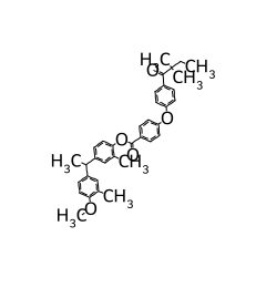 CCC(C)(C)C(=O)c1ccc(Oc2ccc(C(=O)Oc3ccc(C(C)c4ccc(OC)c(C)c4)cc3C)cc2)cc1